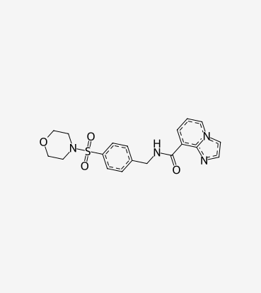 O=C(NCc1ccc(S(=O)(=O)N2CCOCC2)cc1)c1cccn2ccnc12